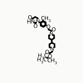 Cc1cc(OCC(=O)N2CCC(C3CCN(CC(=O)OC(C)(C)C)CC3)CC2)ccc1N1CCC(=O)NC1=O